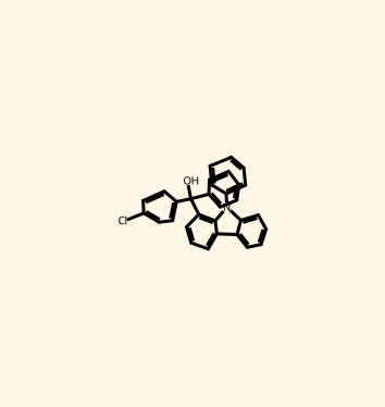 OC(c1ccccc1)(c1ccc(Cl)cc1)c1cccc2c3ccccc3n(-c3ccccc3)c12